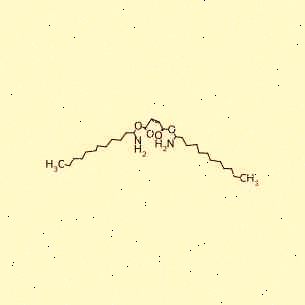 CCCCCCCCCCCC(N)OC(=O)/C=C\C(=O)OC(N)CCCCCCCCCCC